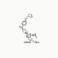 COc1cc2nc(N3CCN(C(=O)c4ccc(OCCc5ccccc5)cc4)CC3)nc(N)c2cc1OC